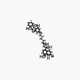 O=C(O)C(O)(c1ccccc1)c1ccc(OCCCCCNC[C@H](O)c2ccc(O)c3[nH]c(=O)ccc23)cc1